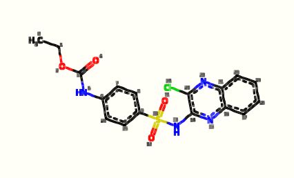 CCOC(=O)Nc1ccc(S(=O)(=O)Nc2nc3ccccc3nc2Cl)cc1